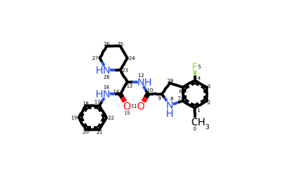 Cc1ccc(F)c2c1NC(C(=O)NC(C(=O)Nc1ccccc1)C1CCCCN1)C2